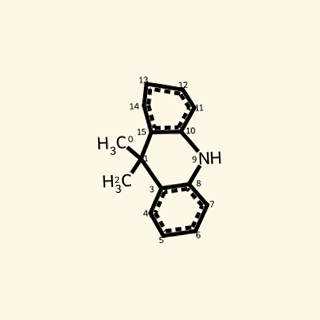 CC1(C)c2[c]cccc2Nc2ccccc21